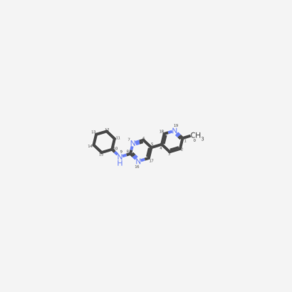 Cc1ccc(-c2cnc(NC3CCCCC3)nc2)cn1